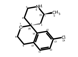 C[C@H]1C[C@@]2(CCN1)OCCc1ccc(Cl)cc12